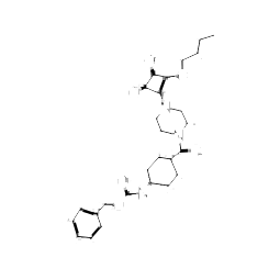 CCCCOc1c(N2CCN(C(=O)C3CCC(NC(=O)OCc4ccccc4)CC3)CC2)c(=O)c1=O